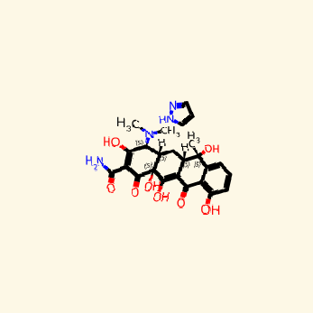 CN(C)[C@@H]1C(O)=C(C(N)=O)C(=O)[C@@]2(O)C(O)=C3C(=O)c4c(O)cccc4[C@@](C)(O)[C@H]3C[C@@H]12.c1cn[nH]c1